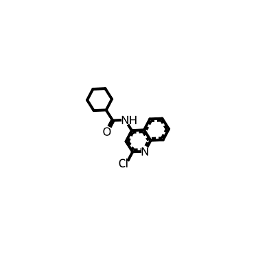 O=C(Nc1cc(Cl)nc2ccccc12)C1CCCCC1